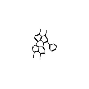 Ic1ccc2c3ccc(I)c4c(I)cc(-c5ccccc5)c(c5ccc(I)c1c25)c43